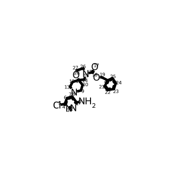 Nc1nnc(Cl)cc1N1CCC2(CC1)CN(C(=O)OCc1ccccc1)CCO2